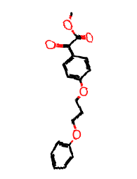 COC(=O)C(=O)c1ccc(OCCCOc2ccccc2)cc1